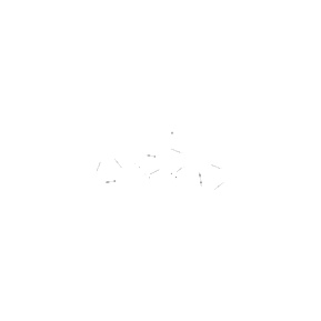 Oc1cc(-c2ccccc2)nc2nn(-c3ccccc3)cc12